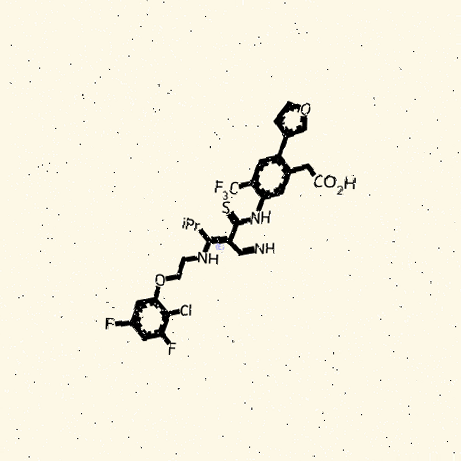 CC(C)/C(NCCOc1cc(F)cc(F)c1Cl)=C(/C=N)C(=S)Nc1cc(CC(=O)O)c(-c2ccoc2)cc1C(F)(F)F